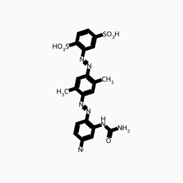 Cc1cc(/N=N/c2cc(S(=O)(=O)O)ccc2S(=O)(=O)O)c(C)cc1/N=N/c1ccc([N])cc1NC(N)=O